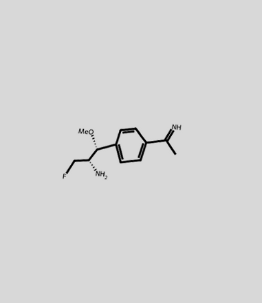 CO[C@H](c1ccc(C(C)=N)cc1)[C@H](N)CF